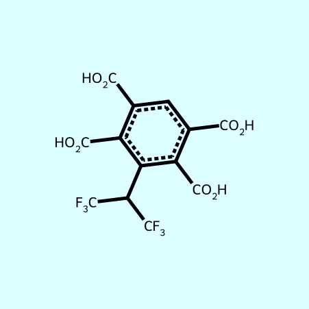 O=C(O)c1cc(C(=O)O)c(C(=O)O)c(C(C(F)(F)F)C(F)(F)F)c1C(=O)O